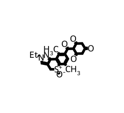 CCn1cc2c(n1)-c1c(C)c(C(=O)C3C(=O)CC(=O)CC3=O)cc(C)c1[S+]([O-])C2